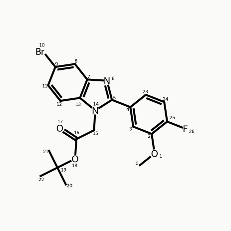 COc1cc(-c2nc3cc(Br)ccc3n2CC(=O)OC(C)(C)C)ccc1F